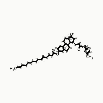 CCCCCCCCCCCCCCCC(=O)Oc1ccc2c(c1)CCC1C2CC[C@]2(C)C(=O)C[C@@H](CCC(=O)Nc3ncc(C)s3)C12